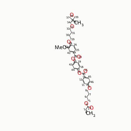 C=CC(=O)OCCCCOc1ccc(C(=O)Oc2ccc(OC(=O)c3ccc(OCCCCOCC4(C)COC4)c(OC)c3)cc2)cc1